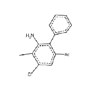 CC(=O)c1cc(Cl)c(C)c(N)c1-c1ccccc1